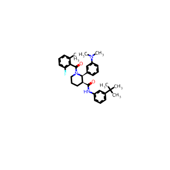 Cc1cccc(F)c1C(=O)N1CCC[C@H](C(=O)Nc2cccc(C(C)(C)C)c2)[C@@H]1c1cccc(N(C)C)c1